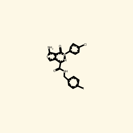 Nc1scc2c(C(=O)NCc3ccc(I)cc3)nn(-c3ccc(Cl)cc3)c(=O)c12